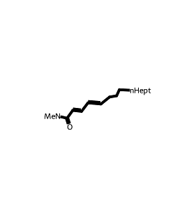 CCCCCCCCCC/C=C/C=C/C(=O)NC